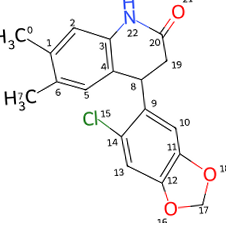 Cc1cc2c(cc1C)C(c1cc3c(cc1Cl)OCO3)CC(=O)N2